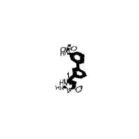 CN1C(=N)N[C@](C)(c2cccc(-c3cccc(NS(C)(=O)=O)c3)c2)CC1=O